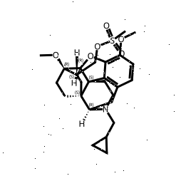 COc1ccc2c3c1O[C@H]1[C@@]4(OC)CC[C@@]5(C[C@H]4COS(C)(=O)=O)[C@@H](C2)N(CC2CC2)CC[C@]315